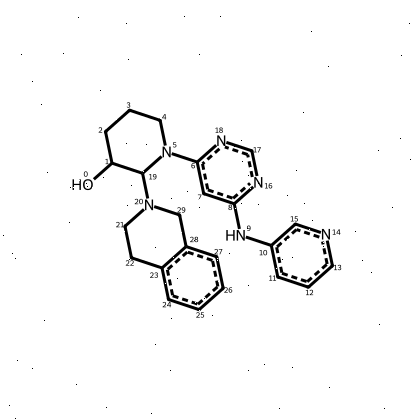 OC1CCCN(c2cc(Nc3cccnc3)ncn2)C1N1CCc2ccccc2C1